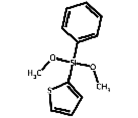 CO[Si](OC)(c1ccccc1)c1cccs1